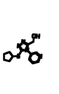 OCc1nnc(SC2CCCC2)n1-c1cccnc1